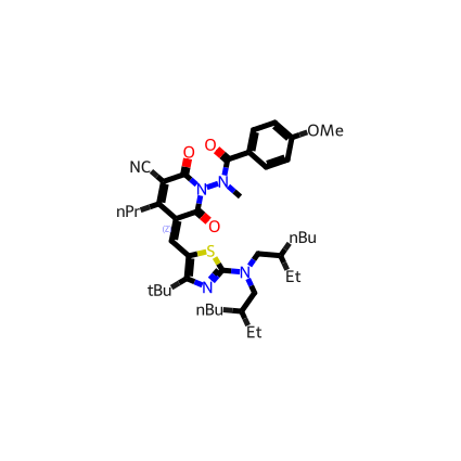 CCCCC(CC)CN(CC(CC)CCCC)c1nc(C(C)(C)C)c(/C=C2\C(=O)N(N(C)C(=O)c3ccc(OC)cc3)C(=O)C(C#N)=C2CCC)s1